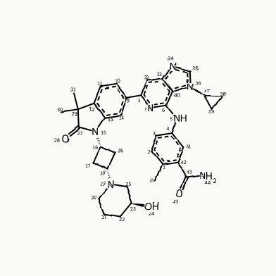 Cc1ccc(Nc2nc(-c3ccc4c(c3)N([C@H]3C[C@@H](N5CCC[C@H](O)C5)C3)C(=O)C4(C)C)cc3ncn(C4CC4)c23)cc1C(N)=O